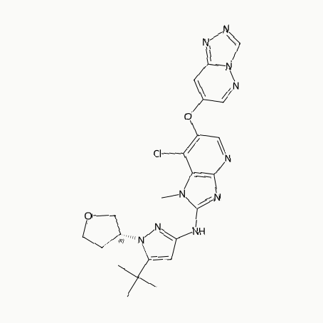 Cn1c(Nc2cc(C(C)(C)C)n([C@@H]3CCOC3)n2)nc2ncc(Oc3cnn4cnnc4c3)c(Cl)c21